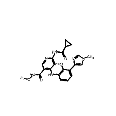 CCONC(=O)c1cnc(NC(=O)C2CC2)cc1Nc1cccc(-c2ncn(C)n2)c1OC